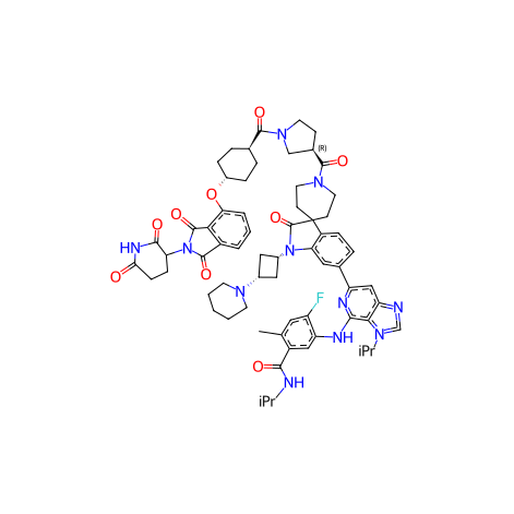 Cc1cc(F)c(Nc2nc(-c3ccc4c(c3)N([C@H]3C[C@@H](N5CCCCC5)C3)C(=O)C43CCN(C(=O)[C@@H]4CCN(C(=O)[C@H]5CC[C@H](Oc6cccc7c6C(=O)N(C6CCC(=O)NC6=O)C7=O)CC5)C4)CC3)cc3ncn(C(C)C)c23)cc1C(=O)NC(C)C